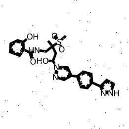 CC(CNC(=O)c1ccccc1O)(CC(O)n1cc(-c2ccc(-c3cc[nH]n3)cc2)cn1)S(C)(=O)=O